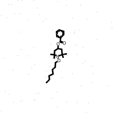 CCCCCCCON1C(C)(C)CC(OC(=O)c2ccccc2)CC1(C)C